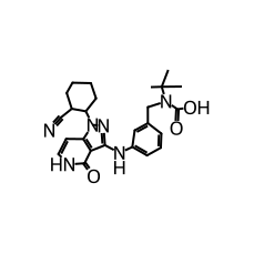 CC(C)(C)N(Cc1cccc(Nc2nn(C3CCCCC3C#N)c3cc[nH]c(=O)c23)c1)C(=O)O